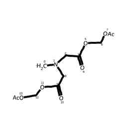 [CH2]N(CC(=O)OCOC(C)=O)CC(=O)OCOC(C)=O